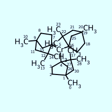 CC12CC[C]([Cr]([C]34CCC(C)(CC3(C)C)C4)[C]34CCC(C)(CC3(C)C)C4)(C1)C(C)(C)C2